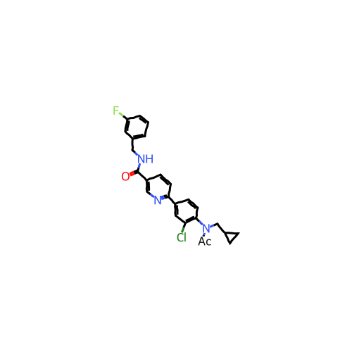 CC(=O)N(CC1CC1)c1ccc(-c2ccc(C(=O)NCc3cccc(F)c3)cn2)cc1Cl